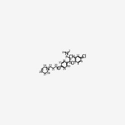 CN(C)CCC(Oc1ccc(Cl)cc1Cl)c1ccc(OCCCN2CCCCC2)cc1